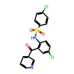 O=C(c1cccnc1)c1cc(Cl)ccc1NS(=O)(=O)c1ccc(Cl)cc1